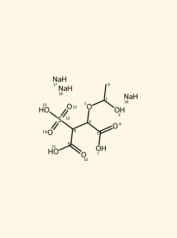 CC(O)OC(C(=O)O)C(C(=O)O)S(=O)(=O)O.[NaH].[NaH].[NaH]